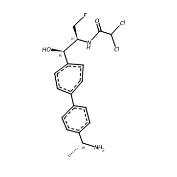 C[C@@H](N)c1ccc(-c2ccc([C@@H](O)[C@@H](CF)NC(=O)C(Cl)Cl)cc2)cc1